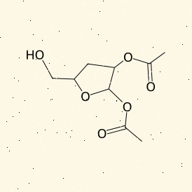 CC(=O)OC1CC(CO)OC1OC(C)=O